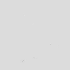 CCOC(=O)c1c(CN(CC)CC)nc2sc3c(c2c1-c1ccc(OC)c(OC)c1)CCN(C(C)=O)C3